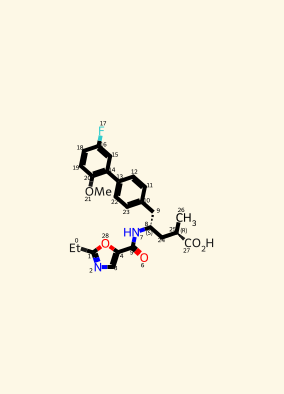 CCc1ncc(C(=O)N[C@H](Cc2ccc(-c3cc(F)ccc3OC)cc2)C[C@@H](C)C(=O)O)o1